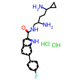 Cl.Cl.NC(CCC(N)C1CC1)CNC(=O)c1cc2ccc(-c3ccc(F)cc3)cc2[nH]1